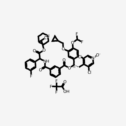 O=C(NC(C(=O)OC1CN2CCC1CC2)c1cccc(F)c1)c1cccc(C(=O)O[C@@H](Cc2c(Cl)c[n+]([O-])cc2Cl)c2ccc(OC(F)F)c(OCC3CC3)c2)c1.O=C(O)C(F)(F)F